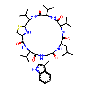 CC(C)C[C@H]1NC(=O)[C@H](Cc2c[nH]c3ccccc23)NC(=O)C(C(C)C)NC(=O)[C@@H]2CSC(N2)C(C(C)C)NC(=O)[C@@H](C(C)C)NC(=O)C(C(C)C)NC1=O